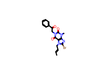 C/C=C/Cn1c(Br)nc2c1c(=O)n(CC(=O)c1ccccc1)c(=O)n2C